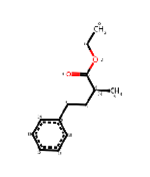 CCOC(=O)[C@@H](C)CCc1ccccc1